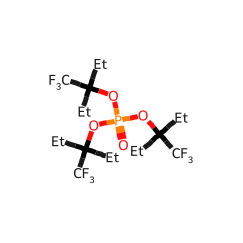 CCC(CC)(OP(=O)(OC(CC)(CC)C(F)(F)F)OC(CC)(CC)C(F)(F)F)C(F)(F)F